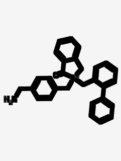 NCc1ccc(C[N+]2(Cc3ccccc3-c3ccccc3)Cc3ccccc3C2=O)cc1